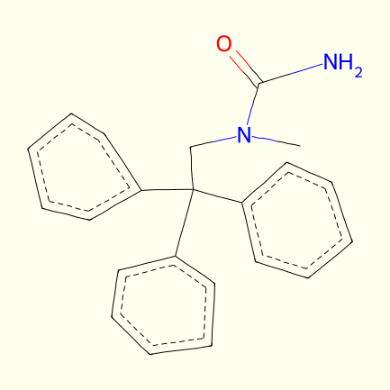 CN(CC(c1ccccc1)(c1ccccc1)c1ccccc1)C(N)=O